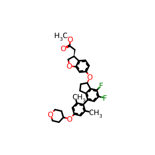 COC(=O)C[C@@H]1COc2cc(O[C@@H]3CCc4c(-c5c(C)cc(OC6CCOCC6)cc5C)cc(F)c(F)c43)ccc21